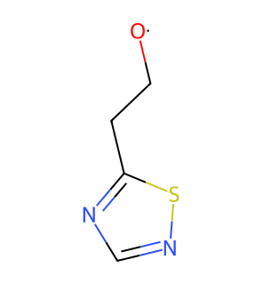 [O]CCc1ncns1